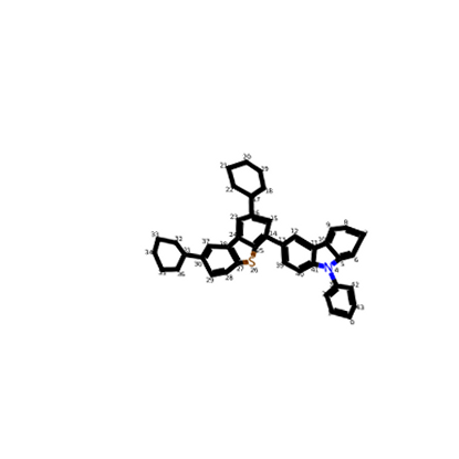 c1ccc(-n2c3ccccc3c3cc(-c4cc(C5CCCCC5)cc5c4sc4ccc(C6CCCCC6)cc45)ccc32)cc1